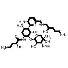 CN[C@@H]1[C@@H](O)[C@@H](O[C@@H]2[C@@H](O)[C@H](C3OC(CNCC(O)CCCN)=CC[C@H]3N)[C@@H](N)C[C@H]2NC(=O)[C@@H](O)CCN)OC[C@]1(C)O